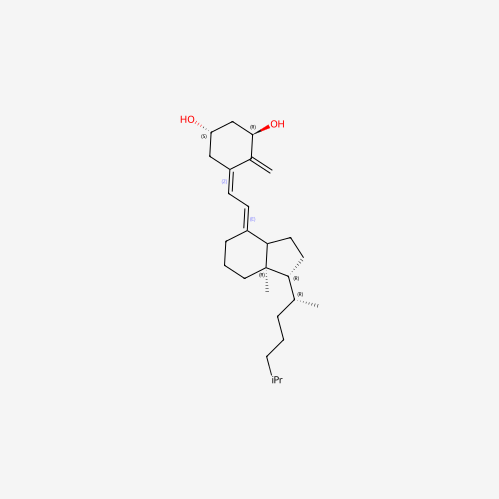 C=C1/C(=C\C=C2/CCC[C@@]3(C)C2CC[C@@H]3[C@H](C)CCCC(C)C)C[C@H](O)C[C@H]1O